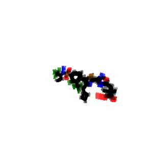 CC[C@H](NS(=O)(=O)c1ccc(-c2sc(-c3noc(CC(C)(C)C(=O)O)n3)nc2CC2CCC2)c(C(F)(F)F)c1F)C(F)(F)F